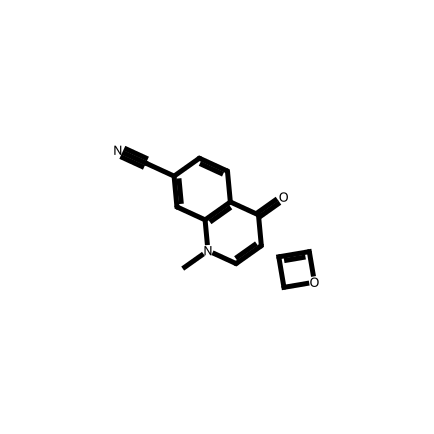 C1=COC1.Cn1ccc(=O)c2ccc(C#N)cc21